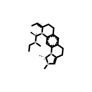 C/C=C1/CCc2cc3c(cc2N1[C@H](C)N(C)CC)N1C(=CN(C)[C@@H]1C)CC3